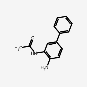 CC(=O)Nc1cc(-c2ccccc2)ccc1N